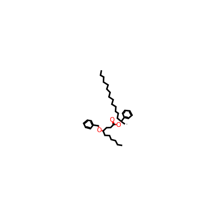 [CH2]C(CCCCCCCCCCCCCC)(OC(=O)CCC(CCCCCC)OCc1ccccc1)c1ccccc1